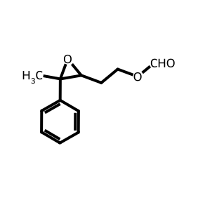 CC1(c2ccccc2)OC1CCOC=O